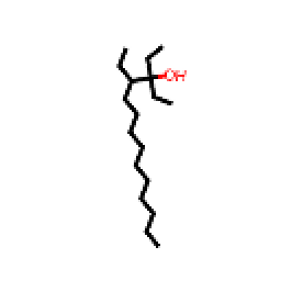 CCCCCCCCCCC(CC)C(O)(CC)CC